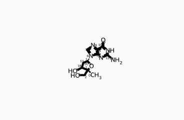 C[C@]1(CO)O[C@@H](n2cnc3c(=O)[nH]c(N)nc32)CC1O